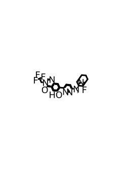 CN1C2CCCC1[C@@H](F)[C@@H](N(C)c1ccc(-c3cc4ncn(CC(F)(F)F)c(=O)c4cc3O)nn1)C2